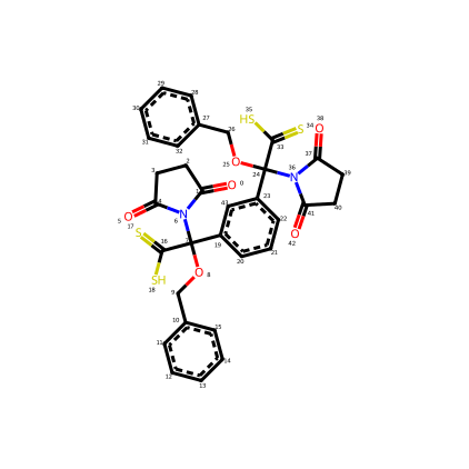 O=C1CCC(=O)N1C(OCc1ccccc1)(C(=S)S)c1cccc(C(OCc2ccccc2)(C(=S)S)N2C(=O)CCC2=O)c1